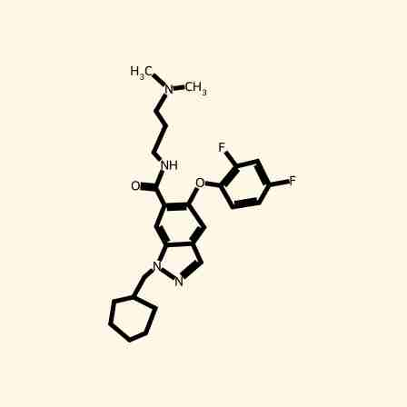 CN(C)CCCNC(=O)c1cc2c(cnn2CC2CCCCC2)cc1Oc1ccc(F)cc1F